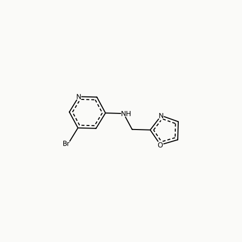 Brc1cncc(NCc2ncco2)c1